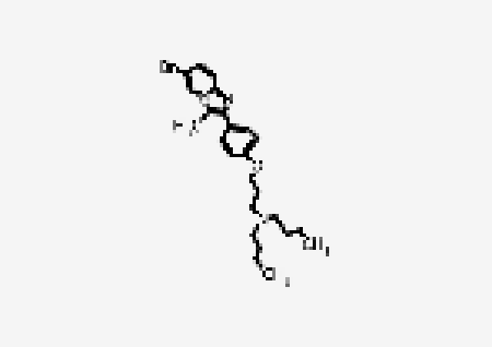 CCCCN(CCCC)CCCOc1ccc(-c2nc3ccc(Br)cn3c2C)cc1